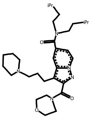 CC(C)CCN(CCC(C)C)C(=O)c1ccn2nc(C(=O)N3CCOCC3)c(CCCN3CCCCC3)c2c1